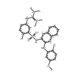 COc1ccc(Cl)c(Nc2nc3ccccc3nc2NS(=O)(=O)c2cc(NC(N(C)C)=[N+](C)C)ccc2C)c1